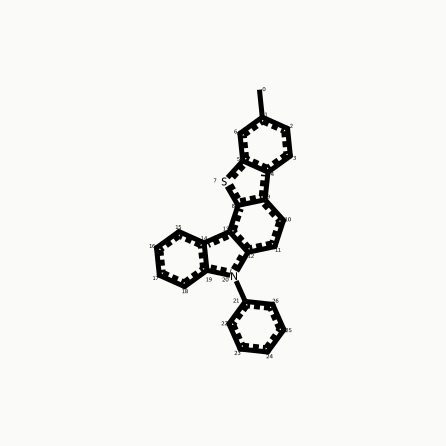 Cc1ccc2c(c1)sc1c2ccc2c1c1ccccc1n2-c1ccccc1